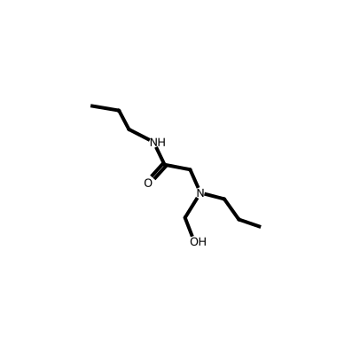 CCCNC(=O)CN(CO)CCC